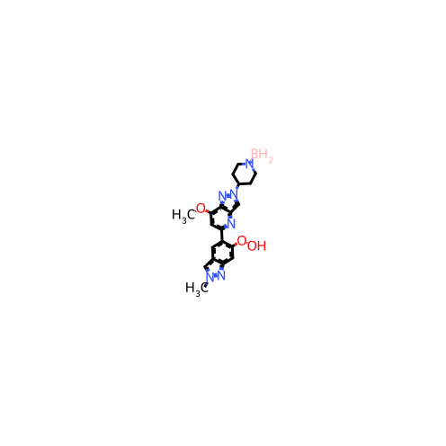 BN1CCC(n2cc3nc(-c4cc5cn(C)nc5cc4OO)cc(OC)c3n2)CC1